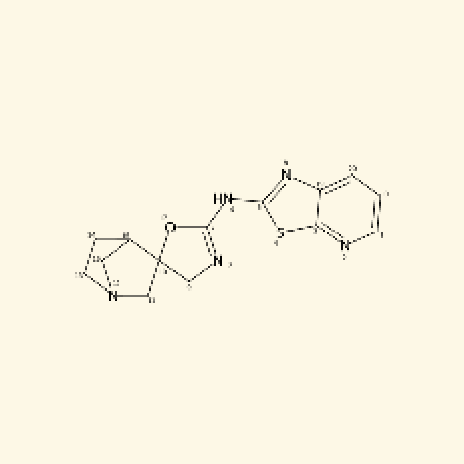 c1cnc2sc(NC3=NCC4(CN5CCC4C5)O3)nc2c1